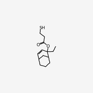 CCC1(OC(=O)CCS)C=CC2CCCC1C2